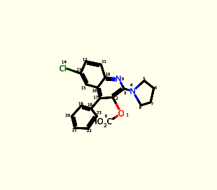 O=C(O)Oc1c(N2CCCC2)nc2ccc(Cl)cc2c1-c1ccccc1